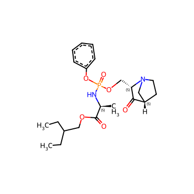 CCC(CC)COC(=O)[C@H](C)NP(=O)(OC[C@H]1C(=O)[C@H]2CCN1C2)Oc1ccccc1